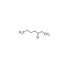 CCCCC([O])CC